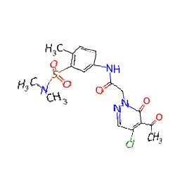 CC(=O)c1c(Cl)cnn(CC(=O)Nc2ccc(C)c(S(=O)(=O)N(C)C)c2)c1=O